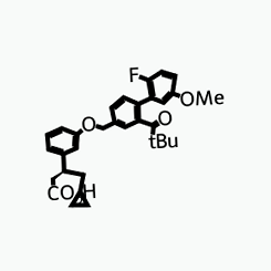 COc1ccc(F)c(-c2ccc(COc3cccc([C@H](CC(=O)O)CC4CC4)c3)cc2C(=O)C(C)(C)C)c1